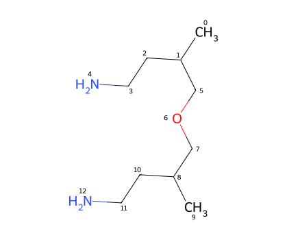 CC(CCN)COCC(C)CCN